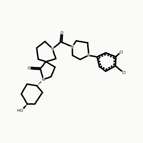 O=C(N1CCN(c2ccc(Cl)c(Cl)c2)CC1)N1CCCC2(CCN([C@H]3CC[C@H](O)CC3)C2=O)C1